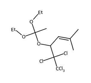 CCOC(C)(OCC)OC(C=C(C)C)C(Cl)(Cl)C(Cl)(Cl)Cl